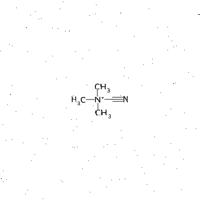 C[N+](C)(C)C#N